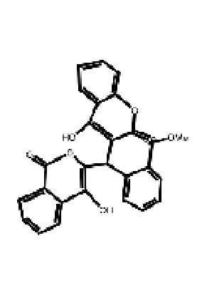 COC(=O)c1ccccc1C(c1oc(=O)c2ccccc2c1O)c1c(O)c2ccccc2oc1=O